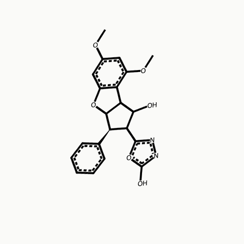 COc1cc(OC)c2c(c1)OC1C2C(O)C(c2nnc(O)o2)[C@H]1c1ccccc1